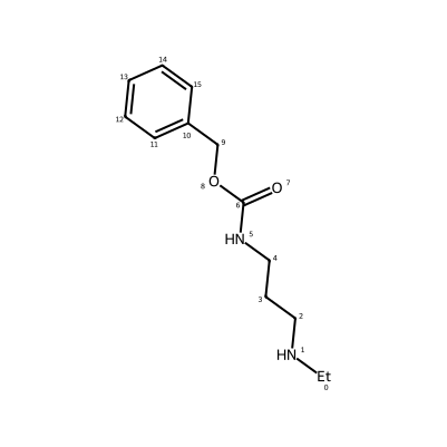 CCNCCCNC(=O)OCc1ccccc1